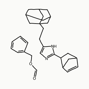 C1=CC2CC1CC2c1ncc(CCC23CC4CC(CC(C4)C2)C3)[nH]1.O=COCc1ccccc1